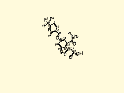 Cc1nc(C(F)(F)F)ccc1COc1cc(C(=O)N(C)C)c2c(CC(=O)O)csc2c1